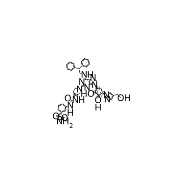 NS(=O)(=O)c1cccc(NC(=O)N[C@@H]2CCN(c3nc(NCC(c4ccccc4)c4ccccc4)c4ncn([C@@H]5C[C@H](n6cc(CO)cn6)[C@@H](O)[C@H]5O)c4n3)C2)c1